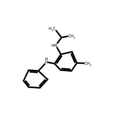 Cc1ccc(Nc2ccccc2)c(NC(C)C)c1